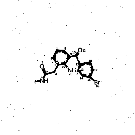 CNC(=O)Cc1cccc(C(=O)c2ccc(Br)cc2)c1N